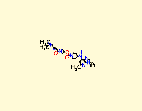 Cc1cc(NC2CCN(C(=O)OC3CN(C(=O)/C=C/CN(C)C)C3)CC2)c2ncn(C(C)C)c2n1